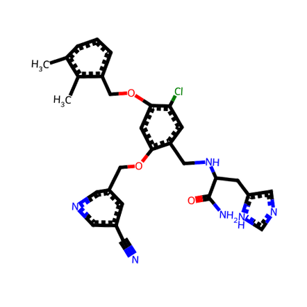 Cc1cccc(COc2cc(OCc3cncc(C#N)c3)c(CNC(Cc3cnc[nH]3)C(N)=O)cc2Cl)c1C